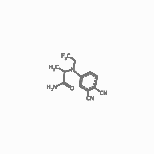 CC(C(N)=O)N(CC(F)(F)F)c1ccc(C#N)c(C#N)c1